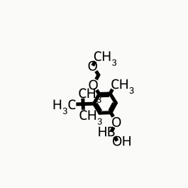 COCOc1c(C)cc(OBO)cc1C(C)(C)C